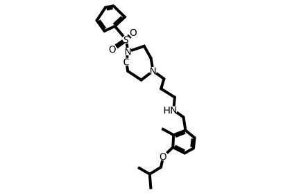 Cc1c(CNCCCN2CCCN(S(=O)(=O)c3ccccc3)CC2)cccc1OCC(C)C